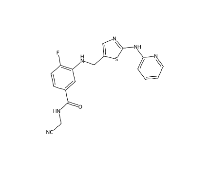 N#CCNC(=O)c1ccc(F)c(NCc2cnc(Nc3ccccn3)s2)c1